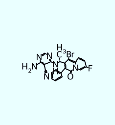 C[C@H](Nc1ncnc(N)c1C#N)c1c(-c2ccccc2)c(=O)n2cc(F)ccc2c1Br